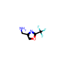 NCc1coc(C(F)(F)F)n1